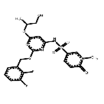 CC(CO)Oc1cc(NS(=O)(=O)c2ccc(=O)n(C)c2)nc(SCc2cccc(F)c2F)n1